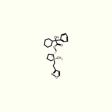 C[N+]1(CCc2ccon2)CCC[C@@H]1COC(=O)C(O)(c1ccccc1)C1CCCCC1